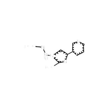 Cc1nc(-c2cccnc2)cn1NNC(=O)O